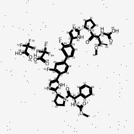 COC(=O)N[C@@H](C(=O)N1CCC[C@H]1c1ncc(-c2ccc(-c3ccc(-c4cnc([C@@H]5CCCN5C(=O)[C@@H](NC(=O)O)[C@@H](C)OC)[nH]4)c(F)c3)cc2F)[nH]1)c1ccccc1.O=C(O)C(F)(F)F.O=C(O)C(F)(F)F